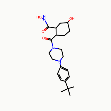 CC(C)(C)c1ccc(N2CCN(C(=O)C3CCC(O)CC3C(=O)NO)CC2)cc1